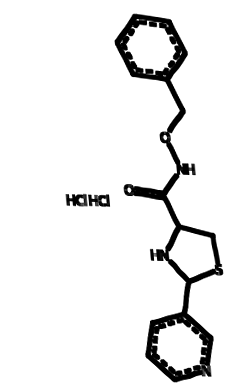 Cl.Cl.O=C(NOCc1ccccc1)C1CSC(c2cccnc2)N1